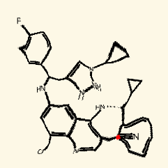 N#Cc1cnc2c(Cl)cc(NC(C3=CN(C4CC4)NN3)c3ccc(F)cc3)cc2c1N[C@@H](c1ccccc1)C1CC1